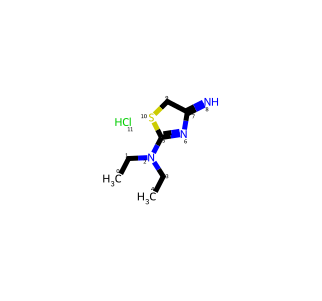 CCN(CC)C1=NC(=N)CS1.Cl